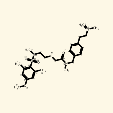 C=[N+](C)CCc1ccc(CN(C)C(=O)COCCN(C)S(=O)(=O)c2c(C)cc(OC)cc2C)cc1